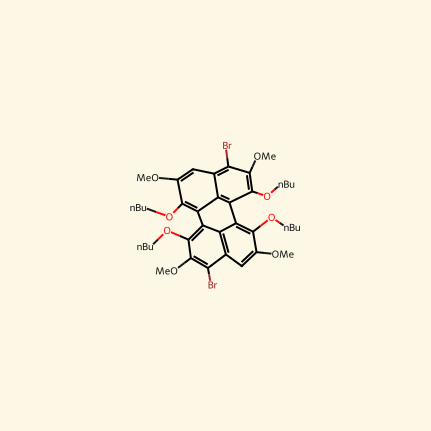 CCCCOc1c(OC)cc2c(Br)c(OC)c(OCCCC)c3c4c(OCCCC)c(OC)cc5c(Br)c(OC)c(OCCCC)c(c1c23)c54